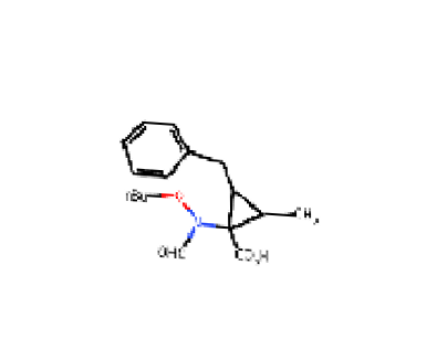 CCCCON(C=O)C1(C(=O)O)C(C)C1Cc1ccccc1